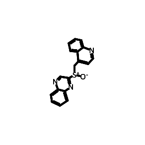 [O-][S+](Cc1ccnc2ccccc12)c1cnc2ccccc2n1